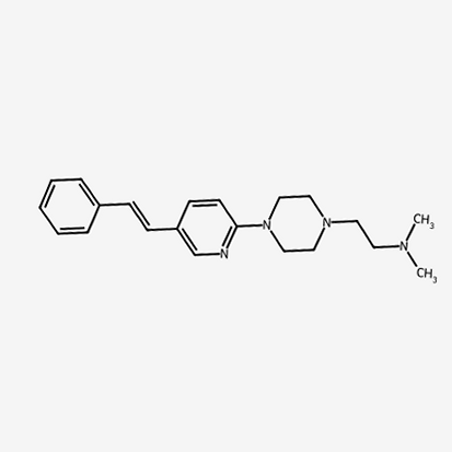 CN(C)CCN1CCN(c2ccc(/C=C/c3ccccc3)cn2)CC1